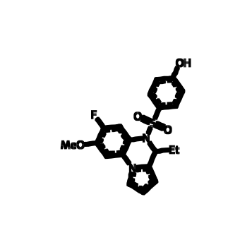 CCC1c2cccn2-c2cc(OC)c(F)cc2N1S(=O)(=O)c1ccc(O)cc1